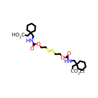 CCOC(=O)CC1(CNC(=O)OCCSSCCOC(=O)NCC2(CC(=O)O)CCCCC2)CCCCC1